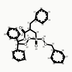 O=C(OCc1ccccc1)C(Cc1ccccc1)CP(=O)(OOCc1ccccc1)OOCc1ccccc1